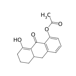 CC(=O)Oc1cccc2c1C(=O)C1=C(O)CCCC1C2